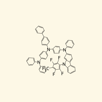 Fc1c(F)c(C(F)(F)F)c(F)c(F)c1-n1c2ccccc2c2ccc(N(c3ccccc3)c3ccc(N(c4ccc(-c5ccccc5)cc4)c4ccc(N(c5ccccc5)c5ccccc5)cc4)cc3)cc21